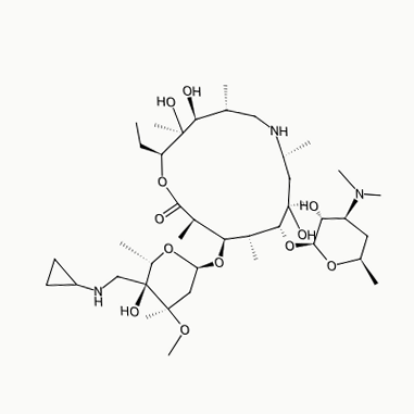 CC[C@@H]1OC(=O)[C@H](C)[C@H](O[C@H]2C[C@@](C)(OC)[C@](O)(CNC3CC3)[C@H](C)O2)[C@@H](C)[C@@H](O[C@@H]2O[C@H](C)C[C@H](N(C)C)[C@H]2O)[C@](C)(O)C[C@@H](C)NC[C@@H](C)[C@H](O)[C@]1(C)O